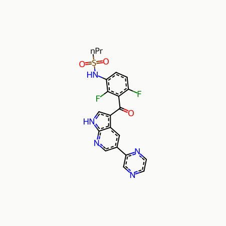 CCCS(=O)(=O)Nc1ccc(F)c(C(=O)c2c[nH]c3ncc(-c4cnccn4)cc23)c1F